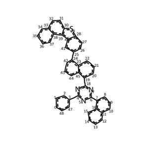 c1ccc(-c2nc(-c3cccc4ccccc34)nc(-c3cccc4c(-c5ccc6sc7ccc8ccccc8c7c6c5)cccc34)n2)cc1